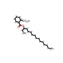 CC(C)CCCCCCCCCCCCC(CC(C)C)OC(=O)C1CCCCC1C(=O)O